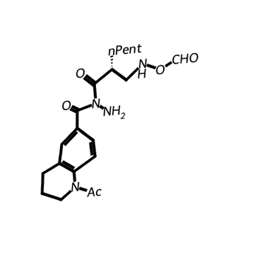 CCCCC[C@H](CNOC=O)C(=O)N(N)C(=O)c1ccc2c(c1)CCCN2C(C)=O